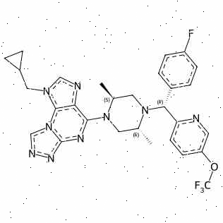 C[C@@H]1CN(c2nc3nncn3c3c2ncn3CC2CC2)[C@@H](C)CN1[C@H](c1ccc(F)cc1)c1ccc(OC(F)(F)F)cn1